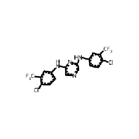 FC(F)(F)c1cc(Nc2cncc(Nc3ccc(Cl)c(C(F)(F)F)c3)n2)ccc1Cl